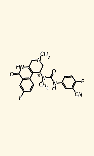 CN1Cc2[nH]c(=O)c3cc(F)ccc3c2[C@H](N(C)C(=O)Nc2ccc(F)c(C#N)c2)C1